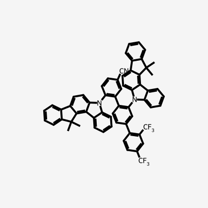 CC1(C)c2ccccc2-c2ccc3c(c21)c1ccccc1n3-c1ccc(C#N)cc1-c1ccc(-c2ccc(C(F)(F)F)cc2C(F)(F)F)cc1-n1c2ccccc2c2c3c(ccc21)-c1ccccc1C3(C)C